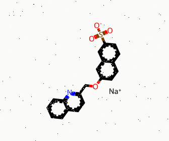 O=S(=O)([O-])c1ccc2ccc(OCc3ccc4ccccc4n3)cc2c1.[Na+]